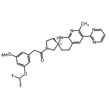 COc1cc(CC(=O)N2CC[C@@]3(CCc4cc(-c5ncccn5)c(C)nc4N3)C2)cc(OC(F)F)c1